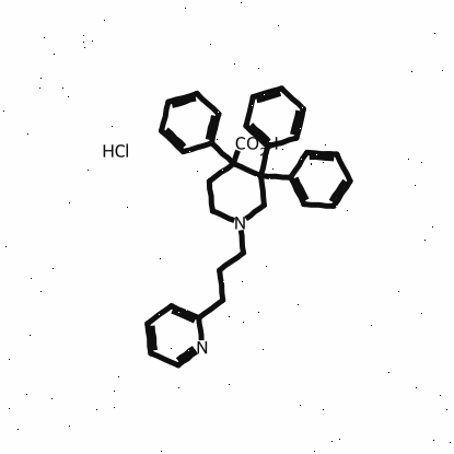 Cl.O=C(O)C1(c2ccccc2)CCN(CCCc2ccccn2)CC1(c1ccccc1)c1ccccc1